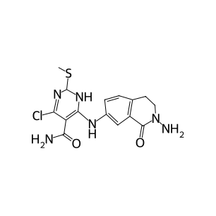 CSC1N=C(Cl)C(C(N)=O)=C(Nc2ccc3c(c2)C(=O)N(N)CC3)N1